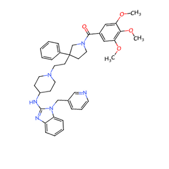 COc1cc(C(=O)N2CCC(CCN3CCC(Nc4nc5ccccc5n4Cc4cccnc4)CC3)(c3ccccc3)C2)cc(OC)c1OC